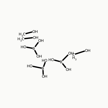 CO.CO.CO.OB(O)O.OB(O)O.OB(O)O